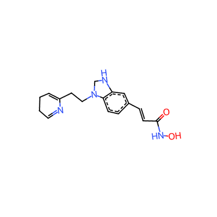 O=C(/C=C/c1ccc2c(c1)NCN2CCC1=CCCC=N1)NO